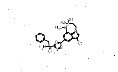 CCc1cn2c3c(cc(-c4nnc([C@](C)(N)Cc5ccccc5)o4)cc13)N(C)S(O)(O)CC2